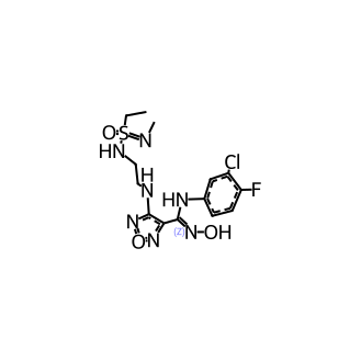 CCS(=O)(=NC)NCCNc1nonc1/C(=N/O)Nc1ccc(F)c(Cl)c1